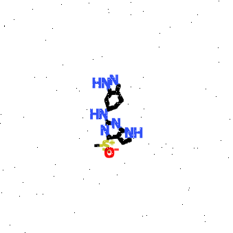 C[S+]([O-])c1nc(Nc2ccc3cn[nH]c3c2)nc2[nH]ccc12